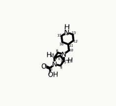 O=C(O)N1C[C@H]2C[C@@H]1CN2CC1CCNCC1